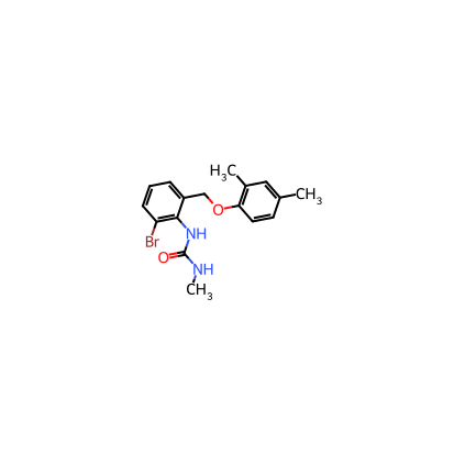 CNC(=O)Nc1c(Br)cccc1COc1ccc(C)cc1C